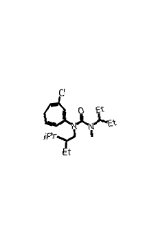 CCC(CN(C(=O)N(C)C(CC)CC)C1=CC(Cl)=CCC=C1)C(C)C